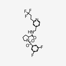 O=C(NCc1ccnc(CCC(F)(F)F)c1)C1CCCN1S(=O)(=O)c1cc(F)cc(F)c1